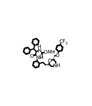 COC(=O)NC(C(=O)Nc1ccccc1CC[C@@H]1CNC[C@@H](COc2ccc(C(F)(F)F)cc2)O1)C(c1ccccc1)c1ccccc1